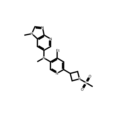 CCc1cc(C2CN(S(C)(=O)=O)C2)ncc1N(C)c1cnc2ncn(C)c2c1